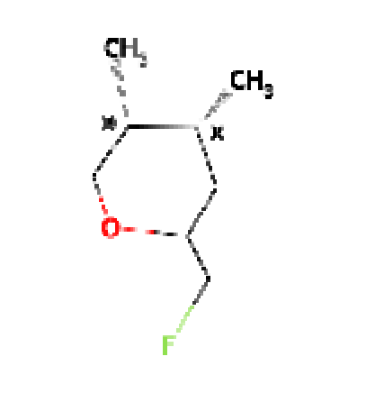 C[C@@H]1CC(CF)OC[C@@H]1C